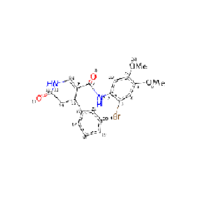 COc1cc(Br)c(NC(=O)C2=CNC(=O)CC2c2ccccc2)cc1OC